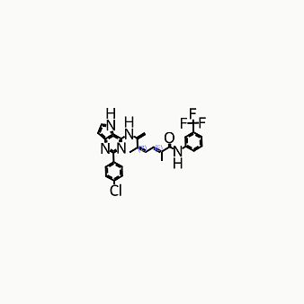 C=C(Nc1nc(-c2ccc(Cl)cc2)nc2cc[nH]c12)/C(C)=C\C=C(/C)C(=O)Nc1cccc(C(F)(F)F)c1